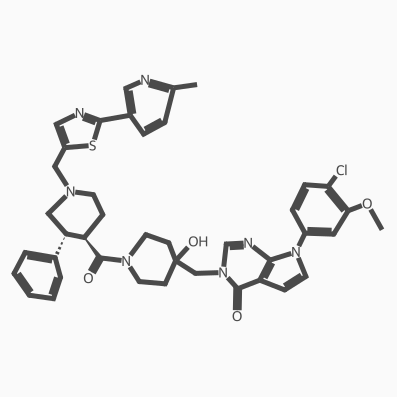 COc1cc(-n2ccc3c(=O)n(CC4(O)CCN(C(=O)[C@@H]5CCN(Cc6cnc(-c7ccc(C)nc7)s6)C[C@H]5c5ccccc5)CC4)cnc32)ccc1Cl